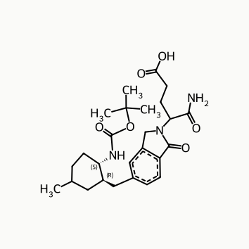 CC1CC[C@H](NC(=O)OC(C)(C)C)[C@@H](Cc2ccc3c(c2)CN(C(CCC(=O)O)C(N)=O)C3=O)C1